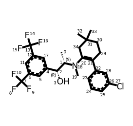 C[C@@H]([C@H](O)c1cc(C(F)(F)F)cc(C(F)(F)F)c1)N(C)C1=C(c2cccc(Cl)c2)CCC(C)(C)C1